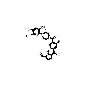 Cc1cc(C)c(N2CCN(C(=O)c3ccc(C(O)C4CCC(C=O)N4)cc3F)CC2)nc1C